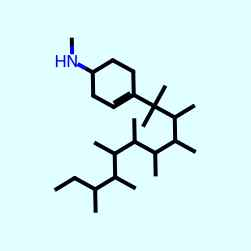 CCC(C)C(C)C(C)C(C)C(C)C(C)C(C)C(C)(C)C1=CCC(NC)CC1